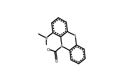 CN(C)c1cccc2c1N(C(=O)Cl)c1ccccc1S2